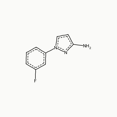 Nc1ccn(-c2cccc(F)c2)n1